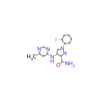 Cc1cc(Nc2cn(-c3ccccc3F)nc2C(N)=O)ncn1